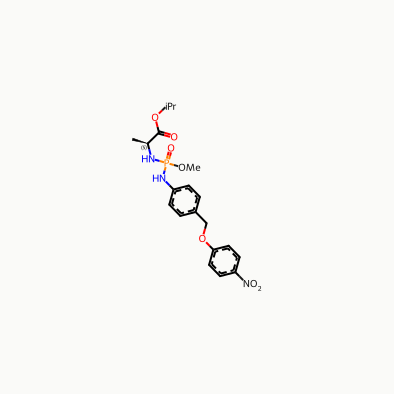 COP(=O)(Nc1ccc(COc2ccc([N+](=O)[O-])cc2)cc1)N[C@@H](C)C(=O)OC(C)C